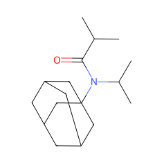 CC(C)C(=O)N(C(C)C)C12CC3CC(CC(C3)C1)C2